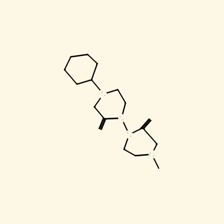 CN1CCN(N2CCN(C3CCCCC3)CC2=O)C(=O)C1